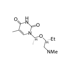 CC[C@H](CNC)O[C@H](C)n1cc(C)c(=O)[nH]c1=O